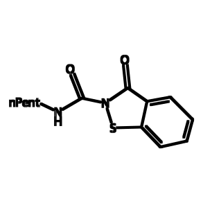 CCCCCNC(=O)n1sc2ccccc2c1=O